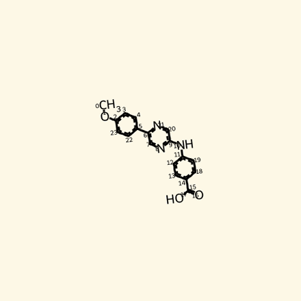 COc1ccc(-c2cnc(Nc3ccc(C(=O)O)cc3)cn2)cc1